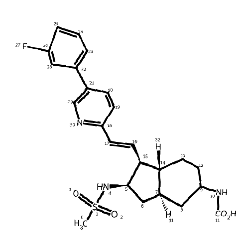 CS(=O)(=O)N[C@@H]1C[C@@H]2CC(NC(=O)O)CC[C@H]2[C@@H]1C=Cc1ccc(-c2cccc(F)c2)cn1